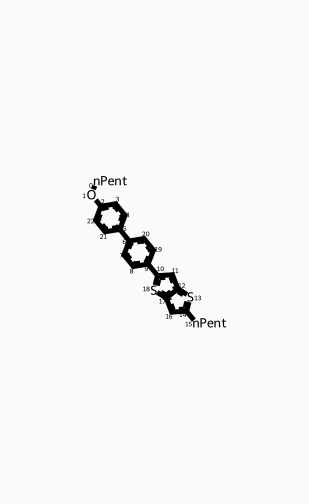 CCCCCOc1ccc(-c2ccc(-c3cc4sc(CCCCC)cc4s3)cc2)cc1